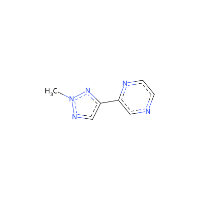 Cn1ncc(-c2cnccn2)n1